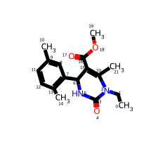 CCN1C(=O)NC(c2cc(C)ccc2C)C(C(=O)OC)=C1C